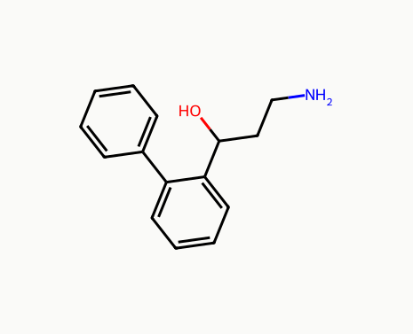 NCCC(O)c1ccccc1-c1ccccc1